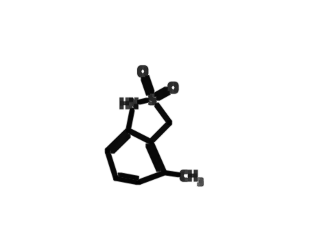 Cc1cccc2c1CS(=O)(=O)N2